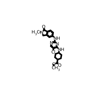 COC(=O)C1CCC(Nc2nc(Nc3ccc4c(c3)CN(C)C4=O)ncc2Cl)CC1